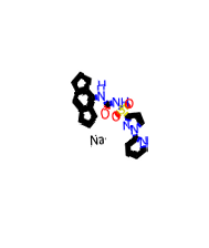 O=C(Nc1c2c(cc3c1CCC3)CCC2)NS(=O)(=O)c1ccn(-c2ccccn2)n1.[Na]